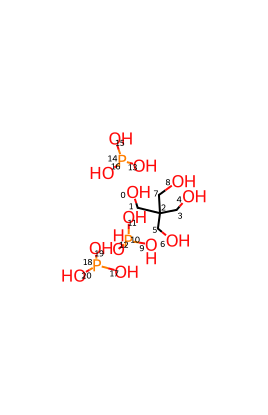 OCC(CO)(CO)CO.OP(O)O.OP(O)O.OP(O)O